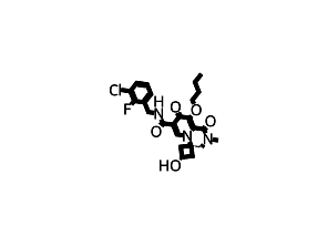 CCCCOc1c2n(cc(C(=O)NCc3cccc(Cl)c3F)c1=O)[C@]1(CN(C)C2=O)C[C@H](O)C1